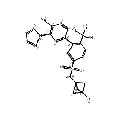 [2H]C([2H])([2H])c1ccc(S(=O)(=O)NC23CC(C#N)(C2)C3)cc1-c1cnc(N)c(-n2nccn2)n1